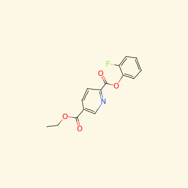 CCOC(=O)c1ccc(C(=O)Oc2ccccc2F)nc1